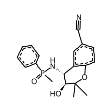 CC1(C)Oc2ccc(C#N)cc2[C@@H](NP(C)(=O)c2ccccc2)[C@@H]1O